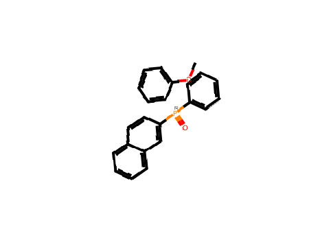 COc1ccccc1[P@](=O)(c1ccccc1)c1ccc2ccccc2c1